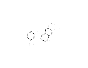 COc1cc2c(Oc3cccc(N)c3)ncnc2cc1O